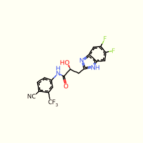 N#Cc1ccc(NC(=O)[C@@H](O)Cc2nc3cc(F)c(F)cc3[nH]2)cc1C(F)(F)F